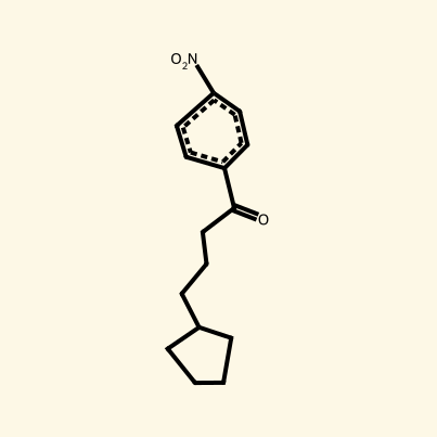 O=C(CCCC1CCCC1)c1ccc([N+](=O)[O-])cc1